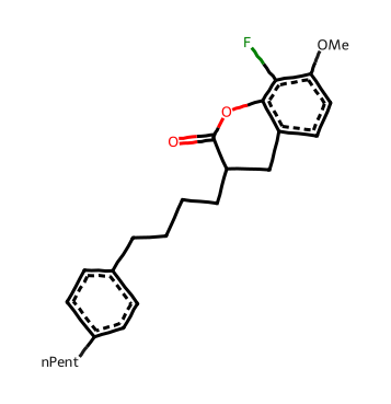 CCCCCc1ccc(CCCCC2Cc3ccc(OC)c(F)c3OC2=O)cc1